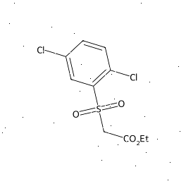 CCOC(=O)CS(=O)(=O)c1cc(Cl)ccc1Cl